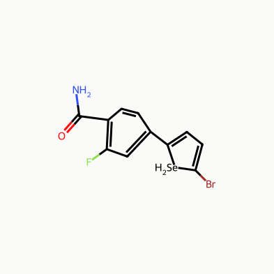 NC(=O)c1ccc(C2=CC=C(Br)[SeH2]2)cc1F